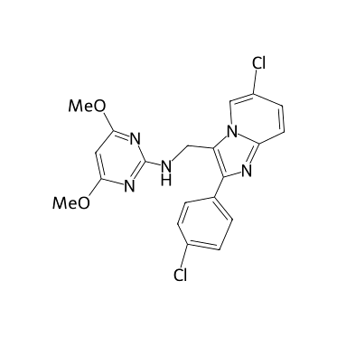 COc1cc(OC)nc(NCc2c(-c3ccc(Cl)cc3)nc3ccc(Cl)cn23)n1